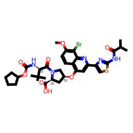 COc1ccc2c(O[C@H]3C[C@@H](C(=O)O)N(C(=O)[C@@H](NC(=O)OC4CCCC4)C(C)(C)C)C3)cc(-c3csc(NC(=O)C(C)C)n3)nc2c1Br